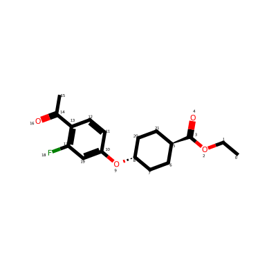 CCOC(=O)[C@H]1CC[C@H](Oc2ccc(C(C)=O)c(F)c2)CC1